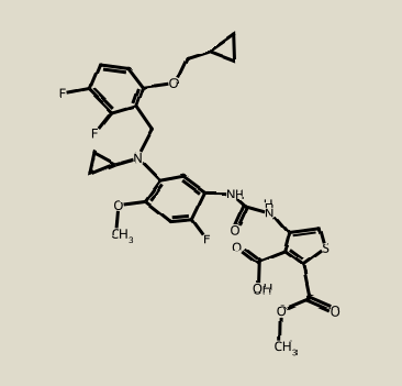 COC(=O)c1scc(NC(=O)Nc2cc(N(Cc3c(OCC4CC4)ccc(F)c3F)C3CC3)c(OC)cc2F)c1C(=O)O